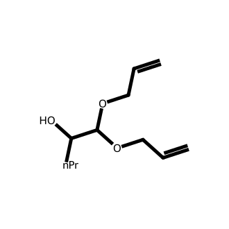 C=CCOC(OCC=C)C(O)CCC